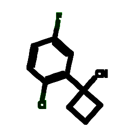 N#CC1(c2cc(F)ccc2Cl)CCC1